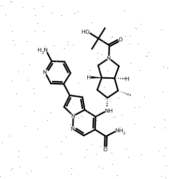 C[C@H]1[C@@H]2CN(C(=O)C(C)(C)O)C[C@H]2C[C@H]1Nc1c(C(N)=O)cnn2cc(-c3ccc(N)nc3)cc12